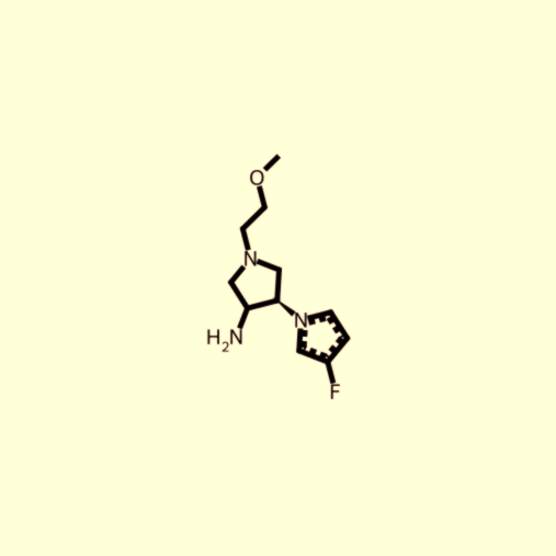 COCCN1CC(N)[C@H](n2ccc(F)c2)C1